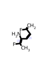 C=C(F)/C=C\C(N)=C(/C)F